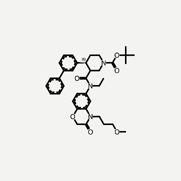 CCN(C(=O)C1CN(C(=O)OC(C)(C)C)CC[C@@H]1c1cccc(-c2ccccc2)c1)c1ccc2c(c1)N(CCCOC)C(=O)CO2